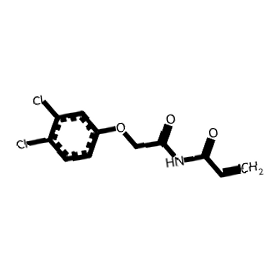 C=CC(=O)NC(=O)COc1ccc(Cl)c(Cl)c1